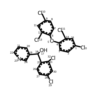 Clc1ccc(Oc2ccc(Cl)cc2Cl)c(Cl)c1.OC(c1cccnc1)c1ccc(Cl)cc1Cl